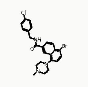 CN1CCN(c2ccc(Br)c3ccc(C(=O)NCc4ccc(Cl)cc4)cc23)CC1